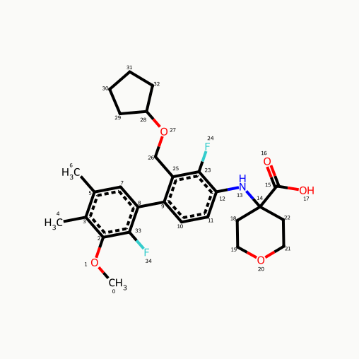 COc1c(C)c(C)cc(-c2ccc(NC3(C(=O)O)CCOCC3)c(F)c2COC2CCCC2)c1F